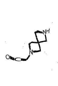 O=C=CN1CC2(CNC2)C1